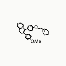 COc1ccc(C2=C(c3ccc(OCCN4CCCCC4)cc3)c3ccccc3CC2)cc1